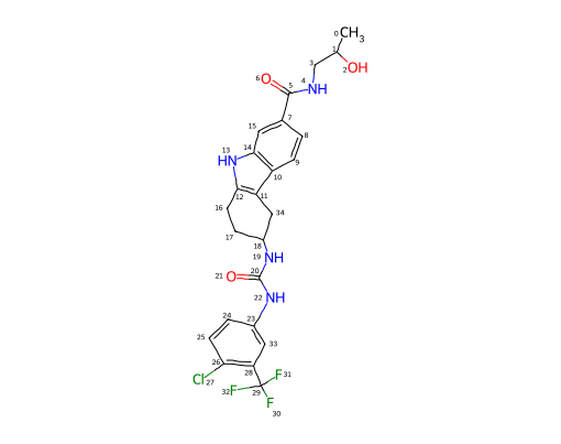 CC(O)CNC(=O)c1ccc2c3c([nH]c2c1)CCC(NC(=O)Nc1ccc(Cl)c(C(F)(F)F)c1)C3